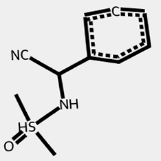 C[SH](C)(=O)NC(C#N)c1ccccc1